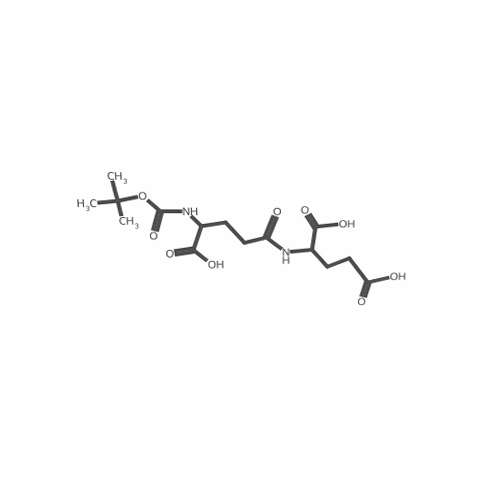 CC(C)(C)OC(=O)NC(CCC(=O)NC(CCC(=O)O)C(=O)O)C(=O)O